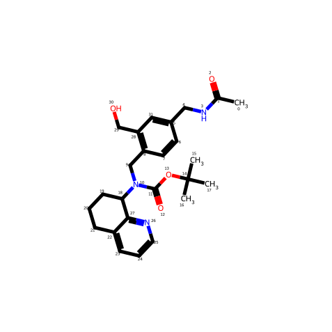 CC(=O)NCc1ccc(CN(C(=O)OC(C)(C)C)C2CCCc3cccnc32)c(CO)c1